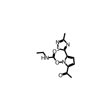 CCNC(=O)On1c(C(C)=O)ccc1-c1nc(C)ns1